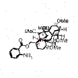 CCN1C[C@]2(COC(=O)c3ccccc3N)CC[C@H](OC)[C@]34C1[C@](O)([C@@H](OC)[C@H]23)[C@@]1(OC)C[C@H](OC)[C@H]2C[C@@H]4[C@@H]1[C@H]2OC